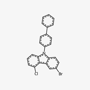 Clc1cccc2c1c1cc(Br)ccc1n2-c1ccc(-c2ccccc2)cc1